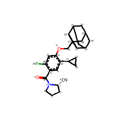 N#C[C@@H]1CCCN1C(=O)c1cc(C2CC2)c(OCC23CC4CC(CC(C4)C2)C3)cc1F